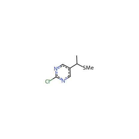 CSC(C)c1cnc(Cl)nc1